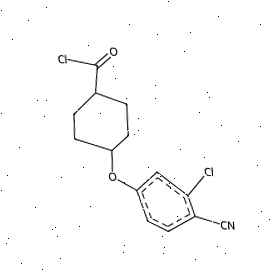 N#Cc1ccc(OC2CCC(C(=O)Cl)CC2)cc1Cl